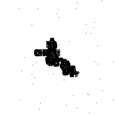 Cc1ccc(NN(C=O)c2cccc3oc(CN4CCN(S(=O)(=O)C(C)C)CC4)nc23)cn1